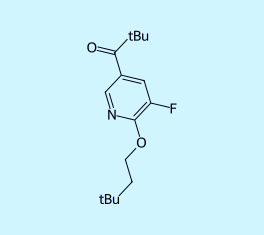 CC(C)(C)CCOc1ncc(C(=O)C(C)(C)C)cc1F